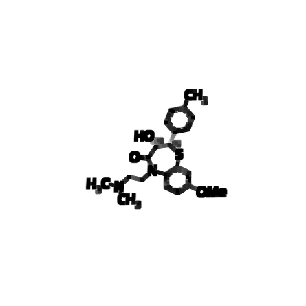 COc1ccc2c(c1)S[C@@H](c1ccc(C)cc1)[C@@H](O)C(=O)N2CCN(C)C